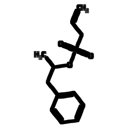 C=CCS(=O)(=O)OC(C)Cc1ccccc1